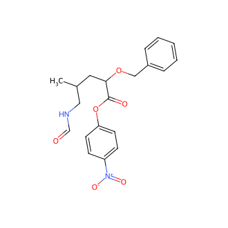 CC(CNC=O)CC(OCc1ccccc1)C(=O)Oc1ccc([N+](=O)[O-])cc1